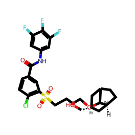 O=C(Nc1cc(F)c(F)c(F)c1)c1ccc(Cl)c(S(=O)(=O)CCCCOC2C3CC[C@H]2C[C@H](CO)C3)c1